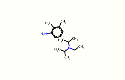 CCN(C(C)C)C(C)C.Cc1cccc(N)c1C